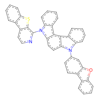 c1ccc2c(c1)oc1cc(-n3c4ccccc4c4c5c6ccccc6n(-c6nccc7c6sc6ccccc67)c5ccc43)ccc12